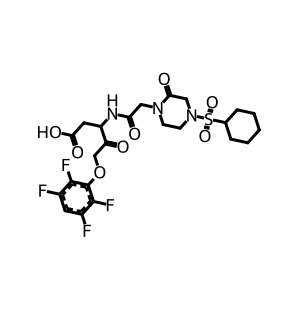 O=C(O)CC(NC(=O)CN1CCN(S(=O)(=O)C2CCCCC2)CC1=O)C(=O)COc1c(F)c(F)cc(F)c1F